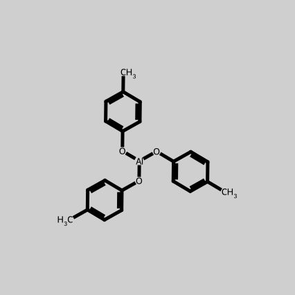 Cc1ccc([O][Al]([O]c2ccc(C)cc2)[O]c2ccc(C)cc2)cc1